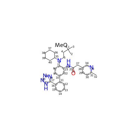 COC(C)(C)CCN(c1ccc(-c2ccccc2-c2nnn[nH]2)cc1NC(=O)Cc1ccc(C)nc1)C1CCCCC1